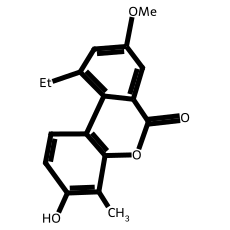 CCc1cc(OC)cc2c(=O)oc3c(C)c(O)ccc3c12